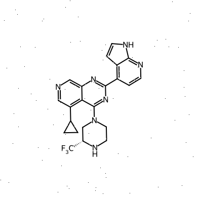 FC(F)(F)[C@@H]1CN(c2nc(-c3ccnc4[nH]ccc34)nc3cncc(C4CC4)c23)CCN1